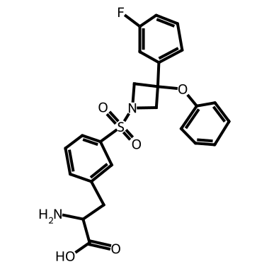 NC(Cc1cccc(S(=O)(=O)N2CC(Oc3ccccc3)(c3cccc(F)c3)C2)c1)C(=O)O